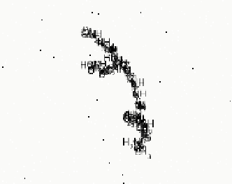 C=C(/C=C\c1nc(NCc2cn(CCCNCCCNC3CCC(COc4ccc5nc(NCc6cn(CCCNCCCNC7CCCCC7)nn6)nc(NC6CCN(C(=O)CC[C@H](N)C(=O)O)CC6)c5c4)CC3)nn2)nc(NC2CCN(C(=O)CC[C@H](N)C(=O)OC)CC2)c1C)OC